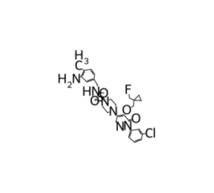 Cc1ccc(CNS(=O)(=O)N2CCN(c3cnn(-c4cccc(Cl)c4)c(=O)c3OCC3(CF)CC3)CC2)cc1N